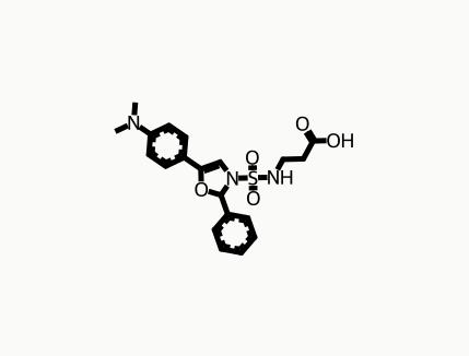 CN(C)c1ccc(C2=CN(S(=O)(=O)NCCC(=O)O)C(c3ccccc3)O2)cc1